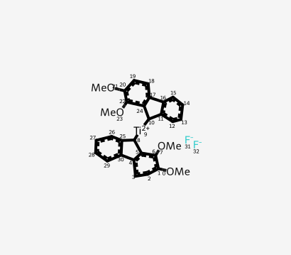 COc1ccc2c(c1OC)[CH]([Ti+2][CH]1c3ccccc3-c3ccc(OC)c(OC)c31)c1ccccc1-2.[F-].[F-]